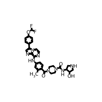 Cc1cc(Nc2nccn3c(-c4ccc(OC(F)F)cc4)cnc23)ccc1C(=O)N1CCN(C(=O)NC2CNCC2O)CC1